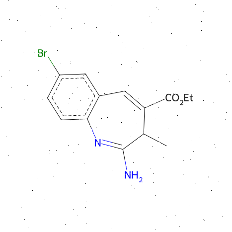 CCOC(=O)C1=Cc2cc(Br)ccc2N=C(N)C1C